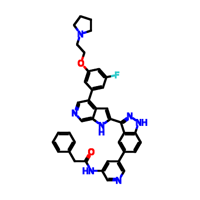 O=C(Cc1ccccc1)Nc1cncc(-c2ccc3[nH]nc(-c4cc5c(-c6cc(F)cc(OCCN7CCCC7)c6)cncc5[nH]4)c3c2)c1